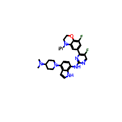 CC(C)N1CCOc2c(F)cc(-c3nc(Nc4ccc(N5CCC(N(C)C)CC5)c5cc[nH]c45)ncc3F)cc21